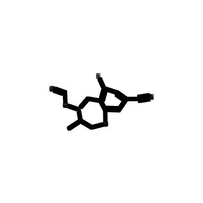 CC1COc2cc(C#N)cc(F)c2CN1OC=O